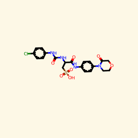 O=C(Nc1ccc(Cl)cc1)NC(CS(=O)(=O)O)C(=O)Nc1ccc(N2CCOCC2=O)cc1